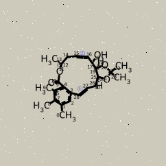 Cc1cc2c(c(C)c1C)C(=O)O[C@@H](C)C/C=C\C(O)[C@H]1OC(C)(C)O[C@H]1C/C=C/2